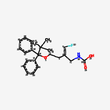 CC(C)(C)[Si](OCCC(=CF)CNC(=O)O)(c1ccccc1)c1ccccc1